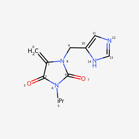 C=C1C(=O)N(C(C)C)C(=O)N1Cc1cnc[nH]1